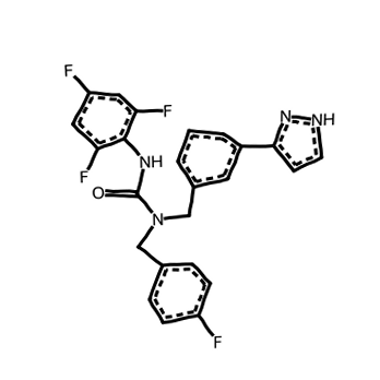 O=C(Nc1c(F)cc(F)cc1F)N(Cc1ccc(F)cc1)Cc1cccc(-c2cc[nH]n2)c1